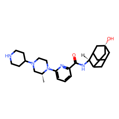 C[C@@H]1CN(C2CCNCC2)CCN1c1cccc(C(=O)N[C@H]2C3CC4CC2C[C@](O)(C4)C3)n1